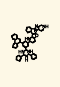 C1=Cc2c(nc3c4ccccc4c4c5c(oc4n23)C=CC(c2cc(-c3cc4ccccc4c4ccccc34)cc(C3NC(c4ccccc4)NC(c4ccccc4)N3)c2)N5)CN1